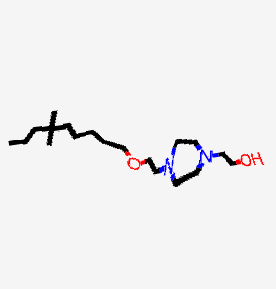 CCCC(C)(C)CCCCCOCCN1CCN(CCO)CC1